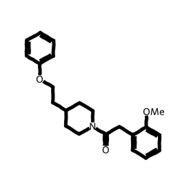 COc1ccccc1CC(=O)N1CCC(CCOc2ccccc2)CC1